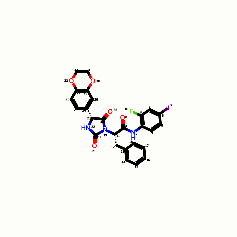 O=C(Nc1ccc(I)cc1F)[C@H](Cc1ccccc1)N1C(=O)N[C@H](c2ccc3c(c2)OCCO3)C1=O